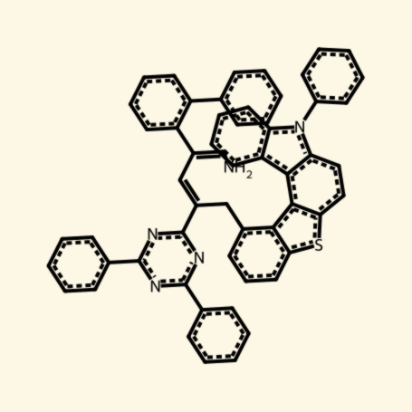 N/C=C(\C=C(/Cc1cccc2sc3ccc4c(c5ccccc5n4-c4ccccc4)c3c12)c1nc(-c2ccccc2)nc(-c2ccccc2)n1)c1ccccc1-c1ccccc1